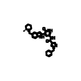 C[C@@H]1CCCCN1Cc1ccc2[nH]c(-c3cc(NC(=O)c4cnn(CC5=CCCC=C5)c4)c[nH]c3=O)cc2c1